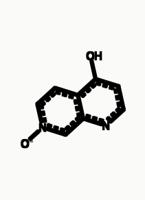 [O-][n+]1ccc2c(O)ccnc2c1